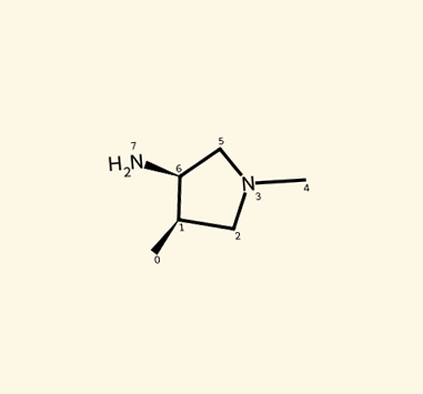 C[C@@H]1CN(C)C[C@@H]1N